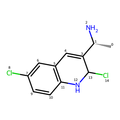 C[C@@H](N)C1=Cc2cc(Cl)ccc2NC1Cl